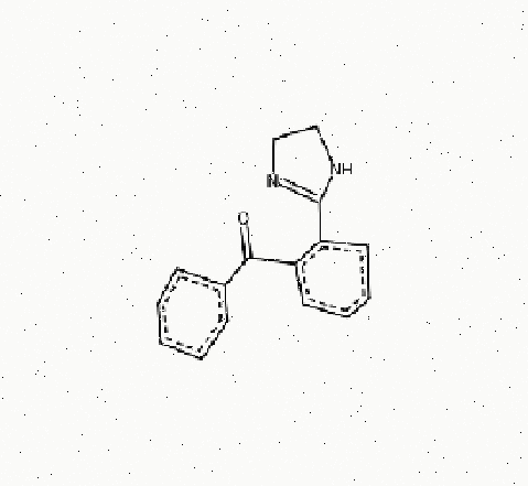 O=C(c1ccccc1)c1ccccc1C1=NCCN1